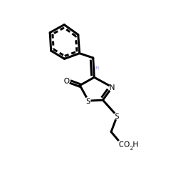 O=C(O)CSC1=N/C(=C/c2ccccc2)C(=O)S1